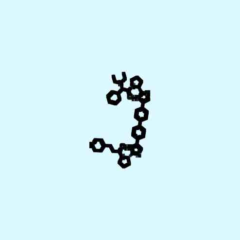 CCN(CC)[C@@H](C(=O)N1CCC[C@H]1c1ncc(-c2ccc(-c3ccc(-c4cnc([C@@H]5CCCN5C(=O)CCC5=CC=NCC5)[nH]4)cc3)cc2)[nH]1)C1C=CC=CC1